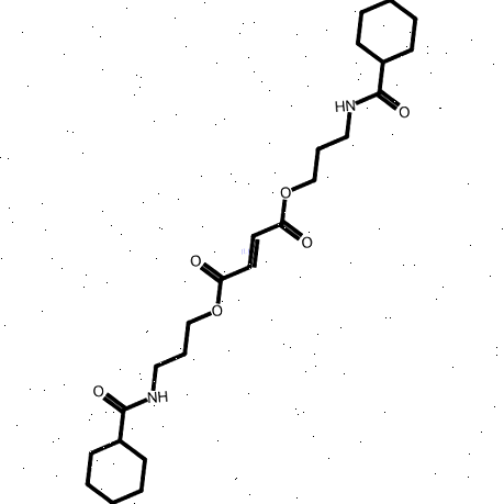 O=C(/C=C/C(=O)OCCCNC(=O)C1CCCCC1)OCCCNC(=O)C1CCCCC1